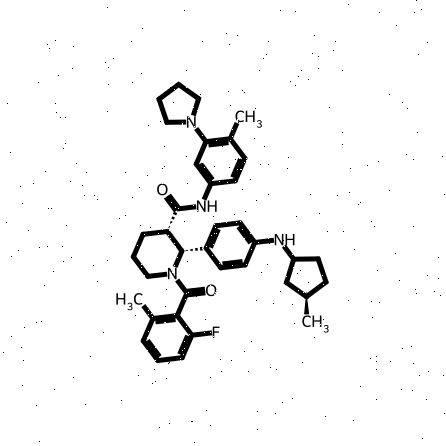 Cc1ccc(NC(=O)[C@H]2CCCN(C(=O)c3c(C)cccc3F)[C@H]2c2ccc(NC3CC[C@@H](C)C3)cc2)cc1N1CCCC1